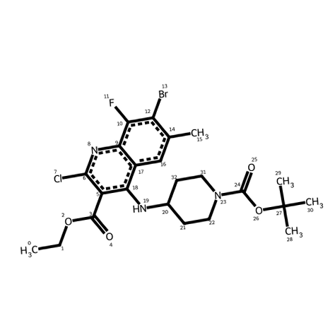 CCOC(=O)c1c(Cl)nc2c(F)c(Br)c(C)cc2c1NC1CCN(C(=O)OC(C)(C)C)CC1